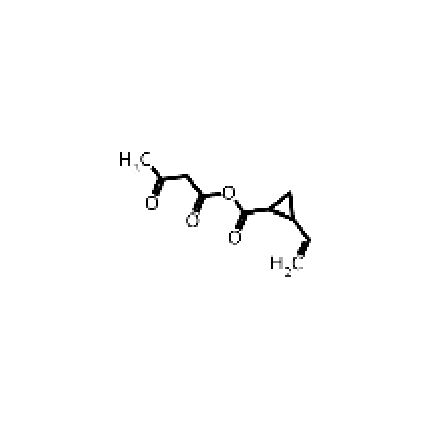 C=CC1CC1C(=O)OC(=O)CC(C)=O